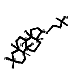 CC(C)(O)CCO[C@H]1CC[C@H]2[C@@H]3CC[C@H]4C[C@@](C)(O)CC[C@]4(C)[C@H]3CC[C@]12C